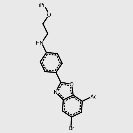 CC(=O)c1cc(Br)cc2nc(-c3ccc(NCCOC(C)C)cc3)oc12